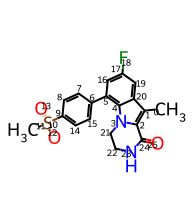 Cc1c2n(c3c(-c4ccc(S(C)(=O)=O)cc4)cc(F)cc13)CCNC2=O